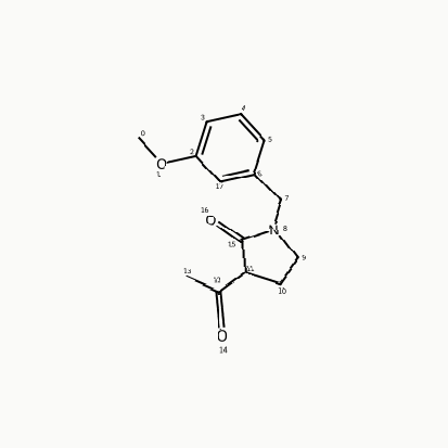 COc1cccc(CN2CCC(C(C)=O)C2=O)c1